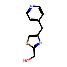 OCc1nc(Cc2ccncc2)cs1